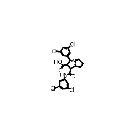 O=C(Nc1cc(Cl)cc(Cl)c1)C1C(C(=O)O)C(c2cc(Cl)cc(Cl)c2)N2CCCC12